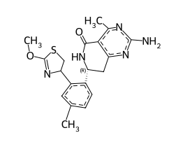 COC1=NC(c2cc(C)ccc2[C@H]2Cc3nc(N)nc(C)c3C(=O)N2)CS1